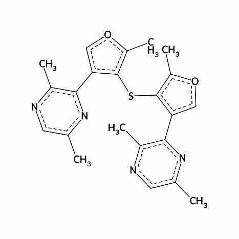 Cc1cnc(C)c(-c2coc(C)c2Sc2c(-c3nc(C)cnc3C)coc2C)n1